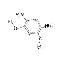 CCOc1nc(OCC)c(N)cc1N